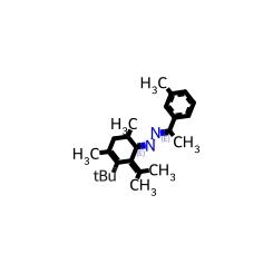 CC(C)=C1C(C(C)(C)C)=C(C)CC(C)/C1=N\N=C(/C)c1cccc(C)c1